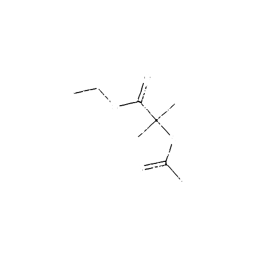 CCOC(=O)C(C)(C)SC(C)=S